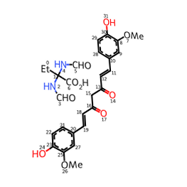 CCC(NC=O)(NC=O)C(=O)O.COc1cc(C=CC(=O)CC(=O)C=Cc2ccc(O)c(OC)c2)ccc1O